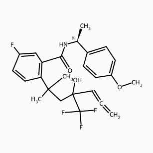 C=C=CC(O)(CC(C)(C)c1ccc(F)cc1C(=O)N[C@@H](C)c1ccc(OC)cc1)C(F)(F)F